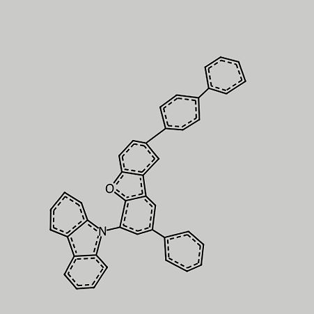 c1ccc(-c2ccc(-c3ccc4oc5c(-n6c7ccccc7c7ccccc76)cc(-c6ccccc6)cc5c4c3)cc2)cc1